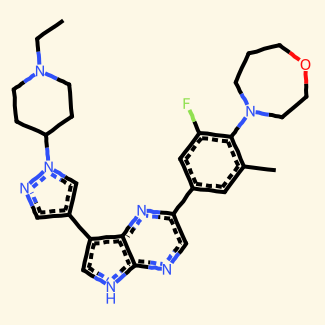 CCN1CCC(n2cc(-c3c[nH]c4ncc(-c5cc(C)c(N6CCCOCC6)c(F)c5)nc34)cn2)CC1